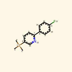 CS(C)(C)c1ccc(-c2ccc(F)cc2)nc1